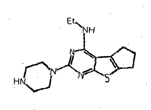 CCNc1nc(N2CCNCC2)nc2sc3c(c12)CCC3